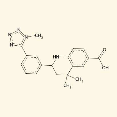 Cn1nnnc1-c1cccc(C2CC(C)(C)c3cc(C(=O)O)ccc3N2)c1